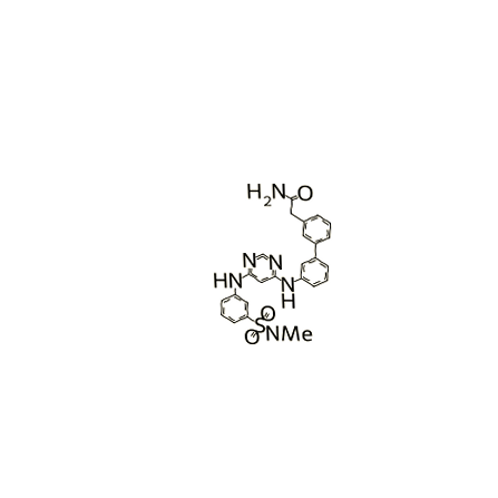 CNS(=O)(=O)c1cccc(Nc2cc(Nc3cccc(-c4cccc(CC(N)=O)c4)c3)ncn2)c1